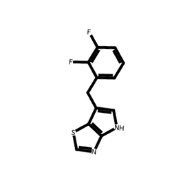 Fc1cccc(Cc2c[nH]c3ncsc23)c1F